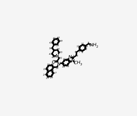 Cn1c(CCc2ccc(CN)cc2)nc2cc(N(Cc3cccc4ccccc34)C(=O)CN3CCC(Cc4ccccc4)CC3)ccc21